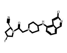 N#C[C@@H]1C[C@H](F)CN1C(=O)CN1CCC(Nc2cccc3cnc(Cl)cc23)CC1